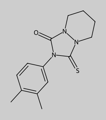 Cc1ccc(-n2c(=O)n3n(c2=S)CCCC3)cc1C